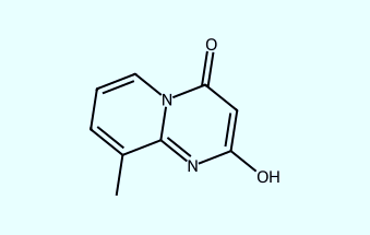 Cc1cccn2c(=O)cc(O)nc12